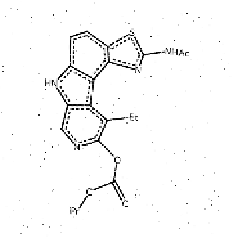 CCc1c(OC(=O)OC(C)C)ncc2[nH]c3ccc4sc(NC(C)=O)nc4c3c12